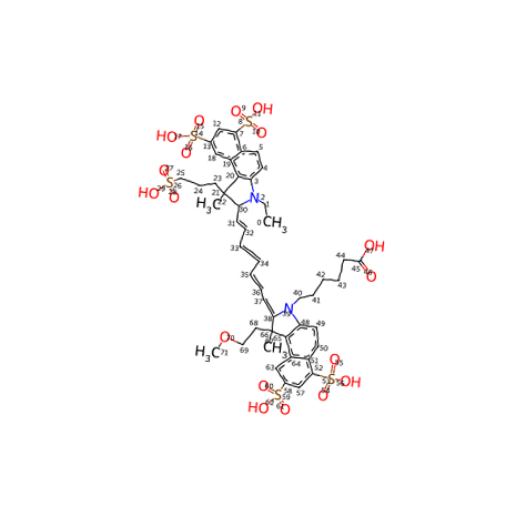 CCN1c2ccc3c(S(=O)(=O)O)cc(S(=O)(=O)O)cc3c2C(C)(CCCS(=O)(=O)O)C1C=CC=CC=CC=C1N(CCCCCC(=O)O)c2ccc3c(S(=O)(=O)O)cc(S(=O)(=O)O)cc3c2C1(C)CCOC